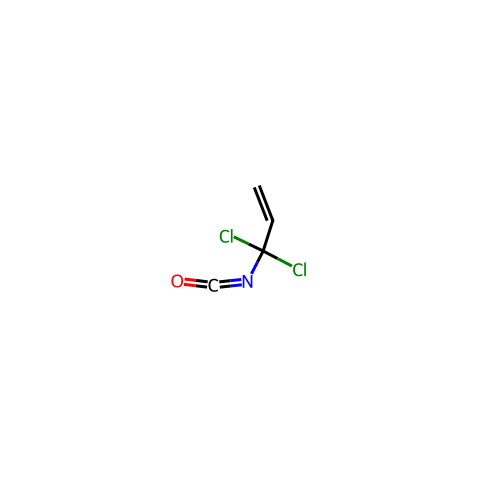 C=CC(Cl)(Cl)N=C=O